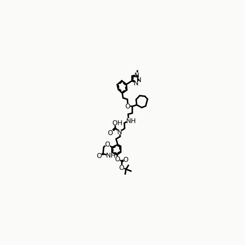 Cn1cc(-c2cccc(CCOC(CCNCCN(CCc3ccc(OC(=O)OC(C)(C)C)c4c3OCC(=O)N4)C(=O)O)C3CCCCCC3)c2)nn1